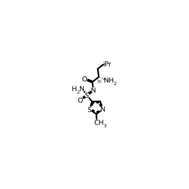 Cc1ncc(S(N)(=O)=NC(=O)[C@@H](N)CC(C)C)s1